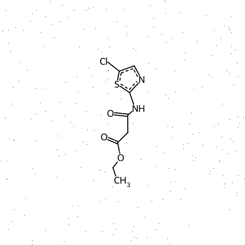 CCOC(=O)CC(=O)Nc1ncc(Cl)s1